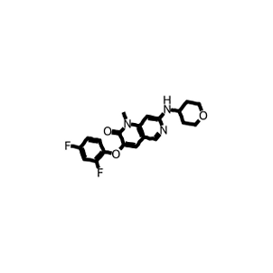 Cn1c(=O)c(Oc2ccc(F)cc2F)cc2cnc(NC3CCOCC3)cc21